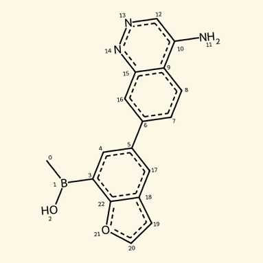 CB(O)c1cc(-c2ccc3c(N)cnnc3c2)cc2ccoc12